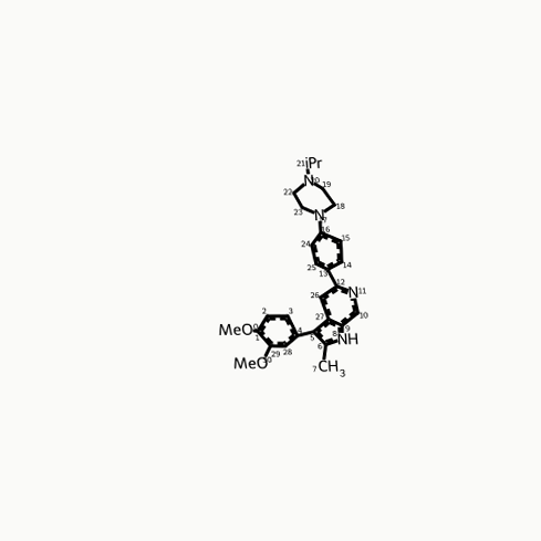 COc1ccc(-c2c(C)[nH]c3cnc(-c4ccc(N5CCN(C(C)C)CC5)cc4)cc23)cc1OC